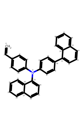 C=Cc1ccc(N(c2ccc(-c3cccc4ccccc34)cc2)c2cccc3ccccc23)cc1